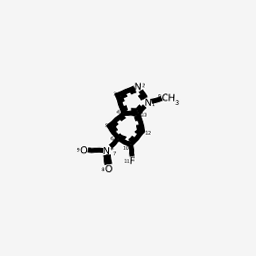 Cn1ncc2cc([N+](=O)[O-])c(F)cc21